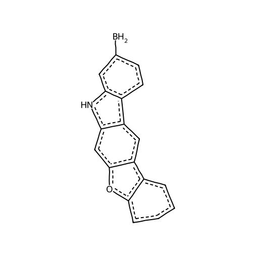 Bc1ccc2c(c1)[nH]c1cc3oc4ccccc4c3cc12